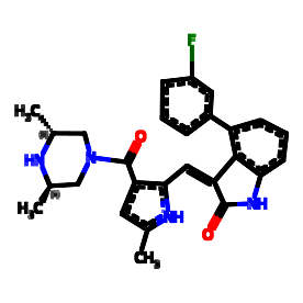 Cc1cc(C(=O)N2C[C@@H](C)N[C@H](C)C2)c(C=C2C(=O)Nc3cccc(-c4cccc(F)c4)c32)[nH]1